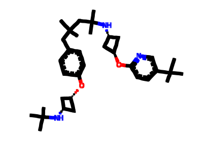 CC(C)(Cc1ccc(O[C@H]2C[C@@H](NC(C)(C)C)C2)cc1)CC(C)(C)N[C@H]1C[C@H](Oc2ccc(C(C)(C)C)cn2)C1